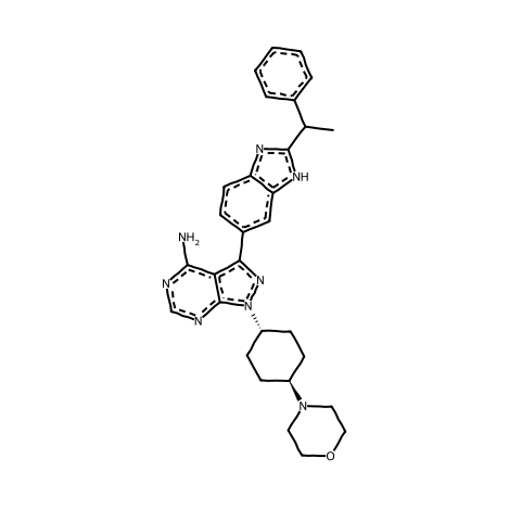 CC(c1ccccc1)c1nc2ccc(-c3nn([C@H]4CC[C@H](N5CCOCC5)CC4)c4ncnc(N)c34)cc2[nH]1